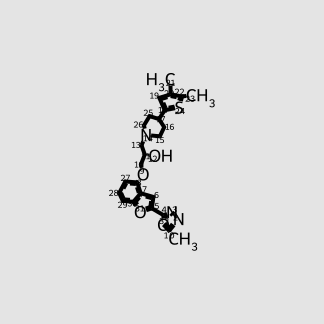 Cc1nnc(-c2cc3c(OC[C@@H](O)CN4CCC(c5cc(C)c(C)s5)CC4)cccc3o2)o1